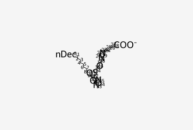 CCCCCCCCCCCCCCCCCCOCC(CSCCOCCN1C=C[N+](=CCCCCC(=O)[O-])C1)Oc1ncccn1